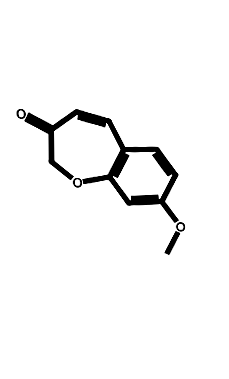 COc1ccc2c(c1)OCC(=O)C=C2